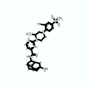 CC1CN(c2ccc(S(C)(=O)=O)cc2F)CCN1c1nccc(C(=O)NC2C3CC4CC2CC(O)(C4)C3)n1